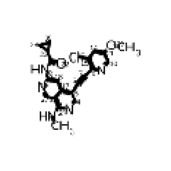 CNc1ncc(C#Cc2ncc(OC)cc2Cl)c2cc(NC(=O)C3CC3)ncc12